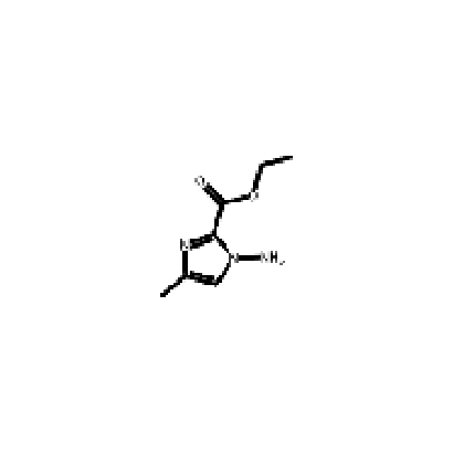 CCOC(=O)c1nc(C)cn1N